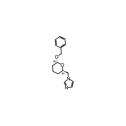 c1ccc(CO[C@H]2CCC[C@H](Cn3ccnc3)O2)cc1